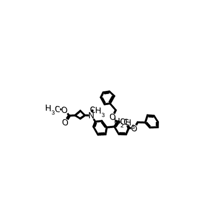 C=C(/C=C\C(=C(/C)OCc1ccccc1)c1cccc(N(C)C2CC(C(=O)OC)C2)c1)OCc1ccccc1